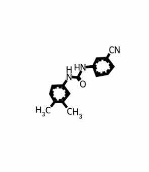 Cc1ccc(NC(=O)Nc2cccc(C#N)c2)cc1C